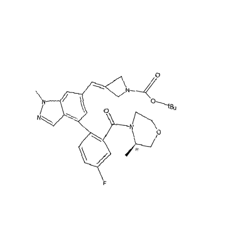 C[C@@H]1COCCN1C(=O)c1cc(F)ccc1-c1cc(C=C2CN(C(=O)OC(C)(C)C)C2)cc2c1cnn2C